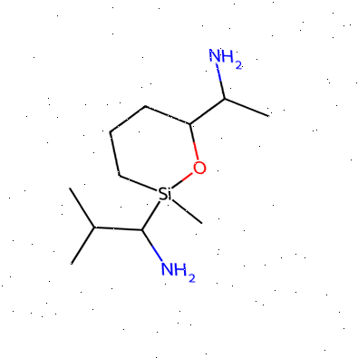 CC(C)C(N)[Si]1(C)CCCC(C(C)N)O1